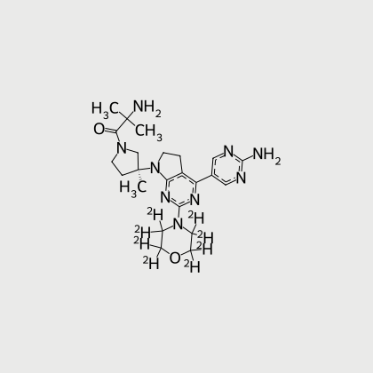 [2H]C1([2H])OC([2H])([2H])C([2H])([2H])N(c2nc(-c3cnc(N)nc3)c3c(n2)N([C@@]2(C)CCN(C(=O)C(C)(C)N)C2)CC3)C1([2H])[2H]